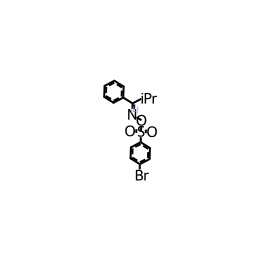 CC(C)/C(=N\OS(=O)(=O)c1ccc(Br)cc1)c1ccccc1